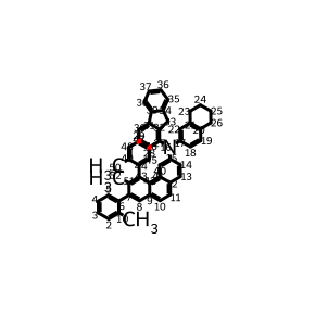 Cc1ccccc1-c1cc2ccc3ccc(N(c4ccc5c(c4)CCCC5)c4cccc5c4Cc4ccccc4-5)cc3c2c(-c2ccccc2C)c1C